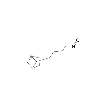 O=NCCCCC1CC23CCC(C2)C13